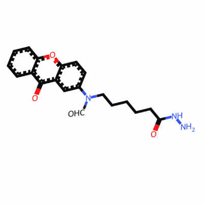 NNC(=O)CCCCCN(C=O)c1ccc2oc3ccccc3c(=O)c2c1